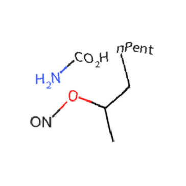 CCCCCCC(C)ON=O.NC(=O)O